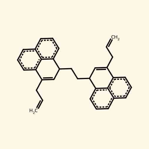 C=CCC1=CC(CCC2C=C(CC=C)c3cccc4cccc2c34)c2cccc3cccc1c23